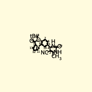 CC1=C(C#N)C(c2cccc(-n3cccc3C(=O)OC(C)(C)C)c2)NC(=O)N1